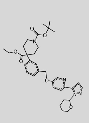 CCOC(=O)C1(c2cccc(COc3ccc(-c4ccnn4C4CCCCO4)nc3)c2)CCN(C(=O)OC(C)(C)C)CC1